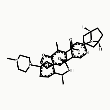 Cc1c(C(=O)N[C@H]2C[C@H]3CC[C@@H](C2)N3c2ccc(C(=O)N[C@@H](C)c3ccc(N4CCN(C)CC4)cc3)cn2)ccc2ccoc12